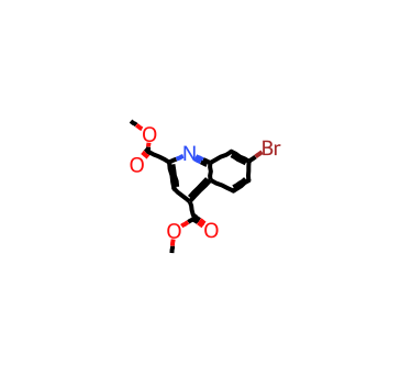 COC(=O)c1cc(C(=O)OC)c2ccc(Br)cc2n1